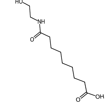 O=C(O)CCCCCCCC(=O)NCCO